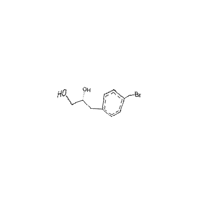 OC[C@H](O)Cc1ccc(Br)cc1